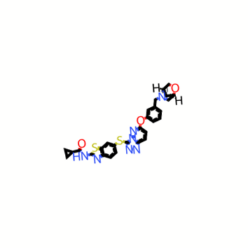 O=C(Nc1nc2ccc(Sc3nnc4ccc(Oc5cccc(CN6C[C@@H]7C[C@H]6CO7)c5)nn34)cc2s1)C1CC1